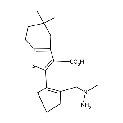 CN(N)CC1=C(c2sc3c(c2C(=O)O)CC(C)(C)CC3)CCC1